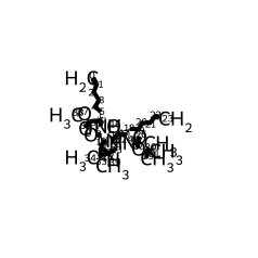 C=CCCCC[C@H](NC(=O)[C@@H]1C2[C@H](CN1C(=O)[C@H](CCCCC=C)NC(=O)OC(C)(C)C)C2(C)C)C(=O)OC